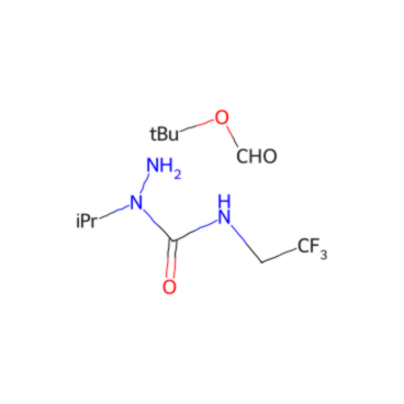 CC(C)(C)OC=O.CC(C)N(N)C(=O)NCC(F)(F)F